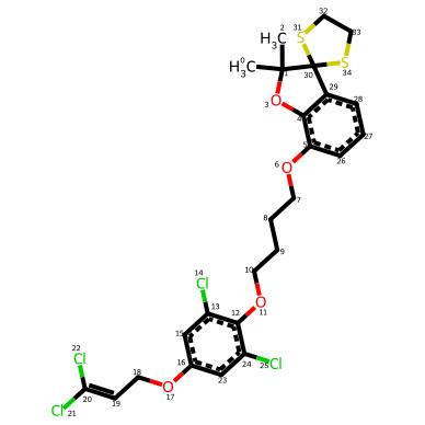 CC1(C)Oc2c(OCCCCOc3c(Cl)cc(OCC=C(Cl)Cl)cc3Cl)cccc2C12SCCS2